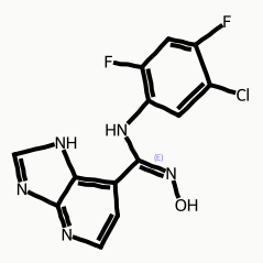 O/N=C(/Nc1cc(Cl)c(F)cc1F)c1ccnc2nc[nH]c12